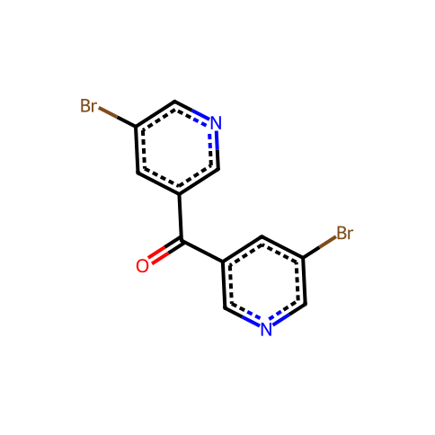 O=C(c1cncc(Br)c1)c1cncc(Br)c1